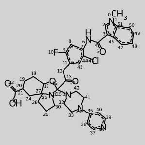 Cn1cc(C(=O)Nc2cc(F)c(CC(=O)C(OC3CCC(C(=O)O)CC3)(N3CCCC3)N3CCN(c4ccncc4)CC3)cc2Cl)c2ccccc21